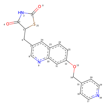 O=C1NC(=O)C(Cc2cnc3cc(OCc4ccncc4)ccc3c2)S1